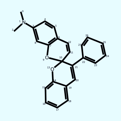 CN(C)c1ccc2c(c1)OC1(C=C2)Oc2ccccc2C=C1c1ccccc1